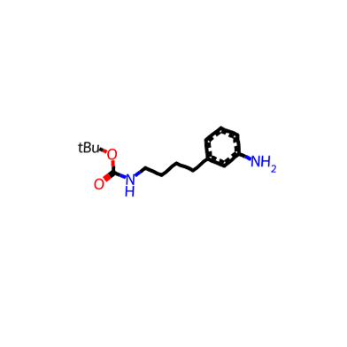 CC(C)(C)OC(=O)NCCCCc1cccc(N)c1